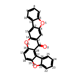 O=c1c2cc3oc4ccccc4c3cc2oc2ccc3oc4ccccc4c3c12